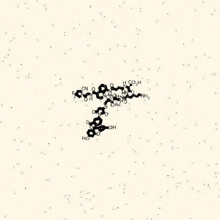 CC(=O)ON(C(=O)CNC(=O)C(CCCCN)NC(=O)[C@H](CC(=O)O)NC(=O)CCC(=O)Nc1cccc2c(C(=O)NCC(=O)N3CC(F)(F)CC3C#N)ccnc12)C(CSC1CC(=O)N(c2ccc3c(c2)C(=O)OC32c3ccc(O)cc3Oc3cc(O)ccc32)C1=O)C(=O)O